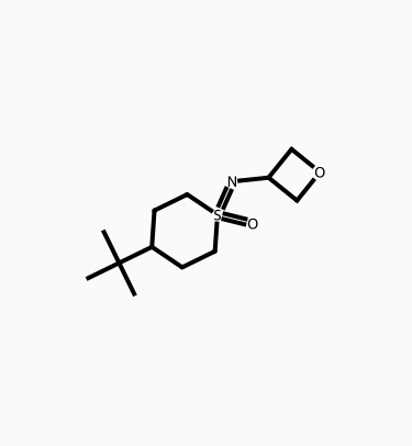 CC(C)(C)C1CCS(=O)(=NC2COC2)CC1